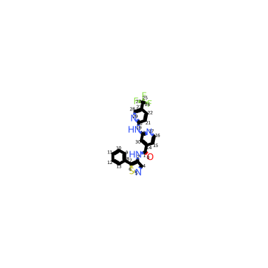 O=C(Nc1cnsc1-c1ccccc1)c1ccnc(Nc2ccc(C(F)(F)F)cn2)c1